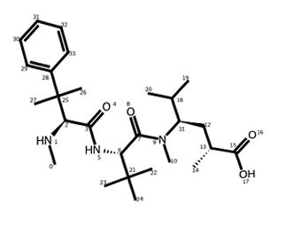 CN[C@H](C(=O)N[C@H](C(=O)N(C)[C@H](C[C@@H](C)C(=O)O)C(C)C)C(C)(C)C)C(C)(C)c1ccccc1